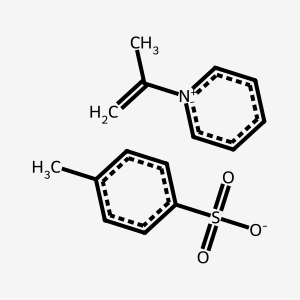 C=C(C)[n+]1ccccc1.Cc1ccc(S(=O)(=O)[O-])cc1